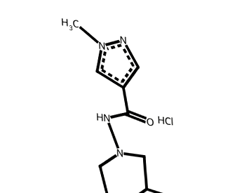 Cl.Cn1cc(C(=O)NN2CCCC(N)C2)cn1